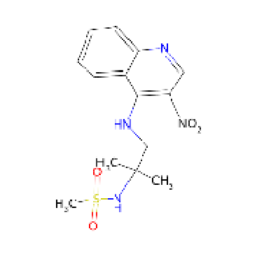 CC(C)(CNc1c([N+](=O)[O-])cnc2ccccc12)NS(C)(=O)=O